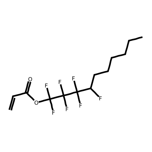 C=CC(=O)OC(F)(F)C(F)(F)C(F)(F)C(F)CCCCCC